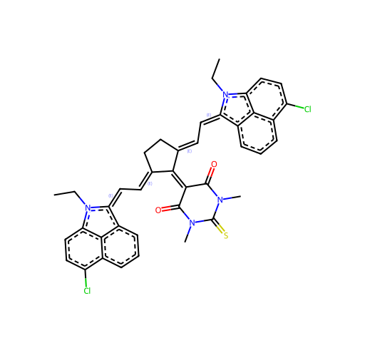 CCn1/c(=C/C=C2\CC/C(=C\C=c3/c4cccc5c(Cl)ccc(c54)n3CC)C2=C2C(=O)N(C)C(=S)N(C)C2=O)c2cccc3c(Cl)ccc1c32